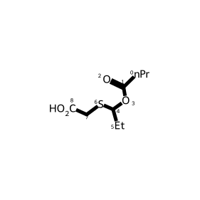 CCCC(=O)OC(CC)SCC(=O)O